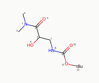 CN(C)C(=O)C(O)CNC(=O)OC(C)(C)C